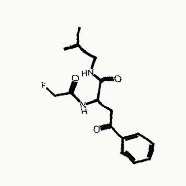 CC(C)CNC(=O)C(CC(=O)c1ccccc1)NC(=O)CF